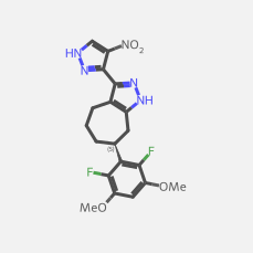 COc1cc(OC)c(F)c([C@H]2CCCc3c(-c4n[nH]cc4[N+](=O)[O-])n[nH]c3C2)c1F